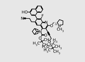 CN1CCC[C@H]1COc1nc2c(F)c(-c3cc(O)cc4ccccc34)c(CCC#N)cc2c(N(C(=O)OC(C)(C)C)C2C3CCC2C3)c1C#CCO[Si](C)(C)C(C)(C)C